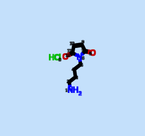 Cl.NCCCCN1C(=O)C=CC1=O